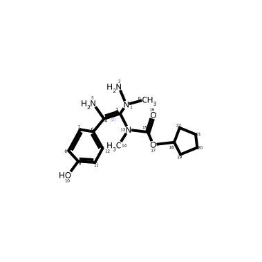 CN(N)/C(=C(\N)c1ccc(O)cc1)N(C)C(=O)OC1CCCC1